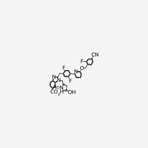 CC(=O)N1C[C@H](O)C[C@@H]1Cn1c(Cc2cc(F)c(-c3cccc(OCc4ccc(C#N)cc4F)n3)cc2F)nc2ccc(C(=O)O)cc21